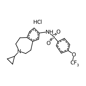 Cl.O=S(=O)(Nc1ccc2c(c1)CCN(C1CC1)CC2)c1ccc(OC(F)(F)F)cc1